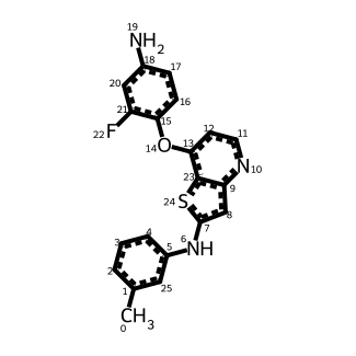 Cc1cccc(Nc2cc3nccc(Oc4ccc(N)cc4F)c3s2)c1